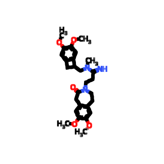 COc1cc2c(cc1OC)CC(=O)N(CCC(=N)N(C)CC1Cc3cc(OC)c(OC)cc31)CC2